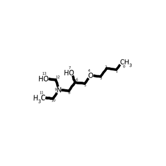 CCCCOCC(O)CN(CC)CO